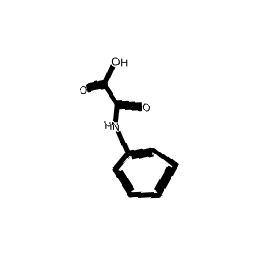 O=C(O)C(=O)Nc1cc[c]cc1